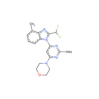 CSc1nc(N2CCOCC2)cc(-n2c(C(F)F)nc3c(C)cccc32)n1